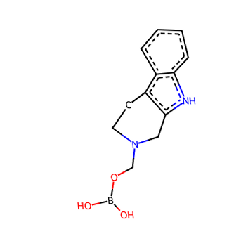 OB(O)OCN1CCc2c([nH]c3ccccc23)C1